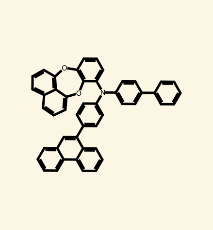 c1ccc(-c2ccc(N(c3ccc(-c4cc5ccccc5c5ccccc45)cc3)c3cccc4c3Oc3cccc5cccc(c35)O4)cc2)cc1